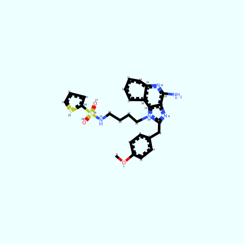 COc1ccc(Cc2nc3c(N)nc4ccccc4c3n2CCCCNS(=O)(=O)c2cccs2)cc1